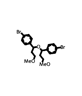 COCCC(OC(CCOC)c1ccc(Br)cc1)c1ccc(Br)cc1